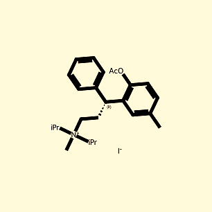 CC(=O)Oc1ccc(C)cc1[C@H](CC[N+](C)(C(C)C)C(C)C)c1ccccc1.[I-]